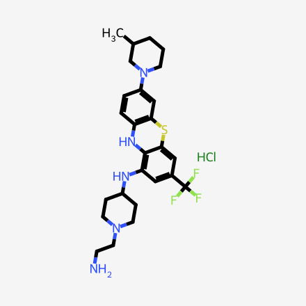 CC1CCCN(c2ccc3c(c2)Sc2cc(C(F)(F)F)cc(NC4CCN(CCN)CC4)c2N3)C1.Cl